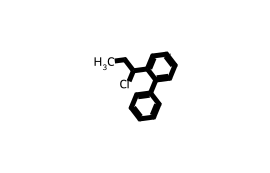 CCC(Cl)c1c[c]ccc1-c1ccccc1